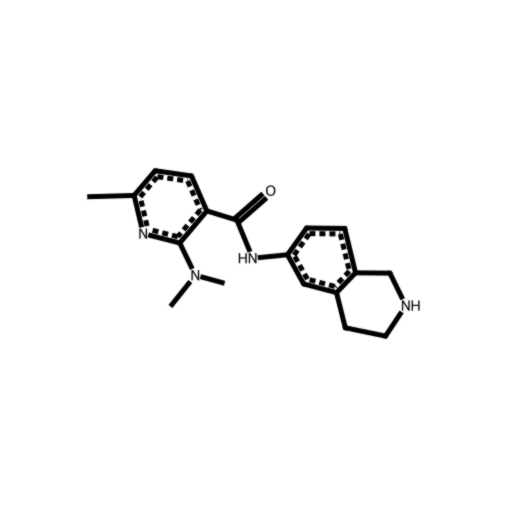 Cc1ccc(C(=O)Nc2ccc3c(c2)CCNC3)c(N(C)C)n1